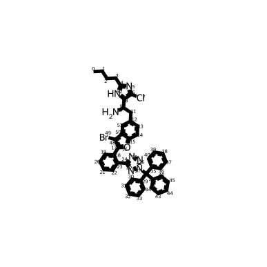 CCCCc1nc(Cl)c(C(N)Cc2ccc3oc(-c4ccccc4-c4nnn(C(c5ccccc5)(c5ccccc5)c5ccccc5)n4)c(Br)c3c2)[nH]1